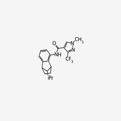 CC(C)C1C2CCC1c1c(NC(=O)c3cn(C)nc3C(F)(F)F)cccc12